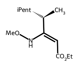 CCC[C@@H](C)[C@@H](C)/C(=C/C(=O)OCC)NOC